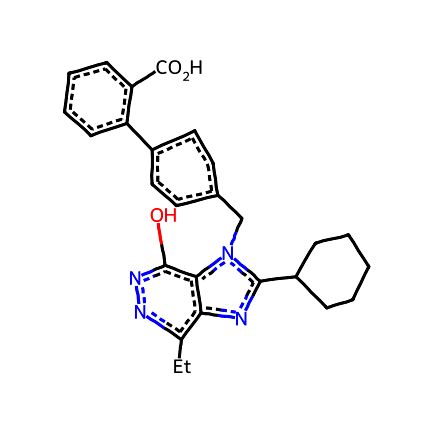 CCc1nnc(O)c2c1nc(C1CCCCC1)n2Cc1ccc(-c2ccccc2C(=O)O)cc1